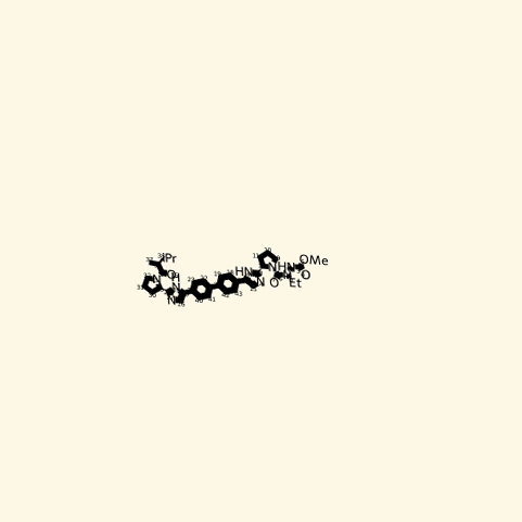 CCN(NC(=O)OC)C(=O)N1CCC[C@H]1c1ncc(-c2ccc(-c3ccc(-c4cnc([C@@H]5CCCN5C(=O)[C@@H](C)C(C)C)[nH]4)cc3)cc2)[nH]1